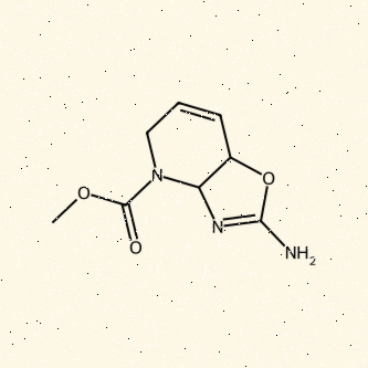 COC(=O)N1CC=CC2OC(N)=NC21